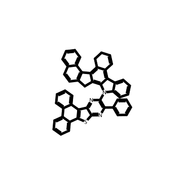 C1=Cc2c(c3c(c4c2c2ccccc2n4-c2nc4c(nc2-c2ccccc2)sc2c5ccccc5c5ccccc5c42)Cc2ccc4ccccc4c2-3)CC1